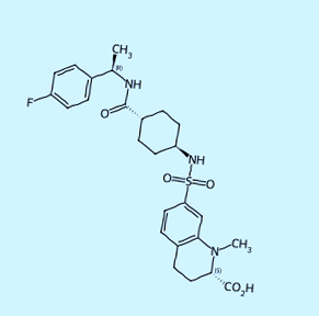 C[C@@H](NC(=O)[C@H]1CC[C@H](NS(=O)(=O)c2ccc3c(c2)N(C)[C@H](C(=O)O)CC3)CC1)c1ccc(F)cc1